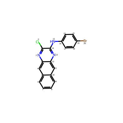 Clc1nc2cc3ccccc3cc2nc1Nc1ccc(Br)cc1